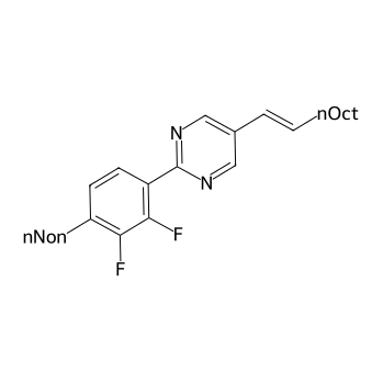 CCCCCCCCC=Cc1cnc(-c2ccc(CCCCCCCCC)c(F)c2F)nc1